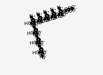 N#[N+]c1ccc([N+](=O)[O-])c(C(=O)O)c1.N#[N+]c1ccc([N+](=O)[O-])c(C(=O)O)c1.N#[N+]c1ccc([N+](=O)[O-])c(C(=O)O)c1.N#[N+]c1ccc([N+](=O)[O-])c(C(=O)O)c1.N#[N+]c1ccc([N+](=O)[O-])c(C(=O)O)c1.N#[N+]c1ccc([N+](=O)[O-])c(C(=O)O)c1.N#[N+]c1ccc([N+](=O)[O-])c(C(=O)O)c1.N#[N+]c1ccc([N+](=O)[O-])c(C(=O)O)c1.[O-]B([O-])F.[O-]B([O-])F.[O-]B([O-])F.[O-]B([O-])F